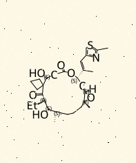 CC[C@H]1C(=O)C2(CCC2)[C@@H](O)CC(=O)O[C@H](C(C)=Cc2csc(C)n2)C[C@@H]2O[C@]2(C)CCC[C@H](C)[C@@H]1O